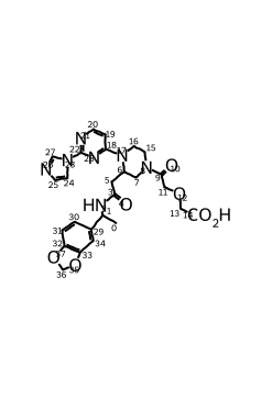 CC(NC(=O)CC1CN(C(=O)COCC(=O)O)CCN1c1ccnc(-n2ccnc2)n1)c1ccc2c(c1)OCO2